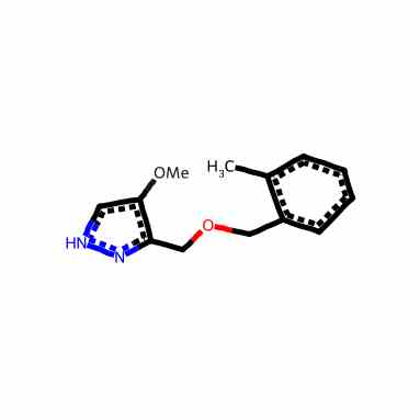 COc1c[nH]nc1COCc1ccccc1C